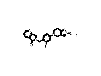 Cn1cc2c(n1)CCN(c1ccc(CN3Cc4ncccc4C3=O)c(F)c1)C2